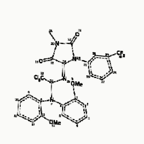 COc1ccccc1N(c1ccccc1OC)C(N=C1C(=O)N(C)C(=O)N1c1cccc(C(F)(F)F)c1)C(Cl)(Cl)Cl